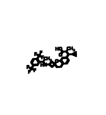 C[C@H](NC1CC2(CCc3ccc(C(C4CC4)[C@H](C)C(=O)O)cc3O2)C1)c1cc(C(F)(F)F)ccc1C(F)(F)F